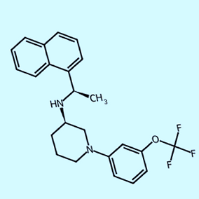 C[C@@H](N[C@@H]1CCCN(c2cccc(OC(F)(F)F)c2)C1)c1cccc2ccccc12